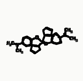 CN(C)c1ccc([O][Zr]([O]c2ccc(N(C)C)cc2)([C]2=CC=CC2)[C]2=CC=CC2)cc1